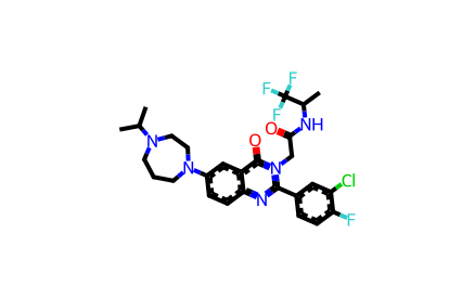 CC(C)N1CCCN(c2ccc3nc(-c4ccc(F)c(Cl)c4)n(CC(=O)NC(C)C(F)(F)F)c(=O)c3c2)CC1